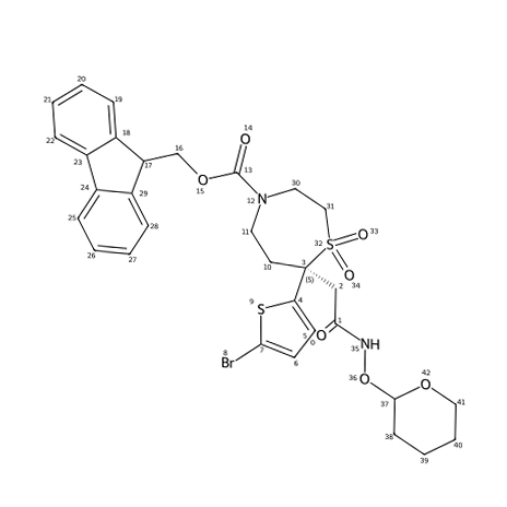 O=C(C[C@]1(c2ccc(Br)s2)CCN(C(=O)OCC2c3ccccc3-c3ccccc32)CCS1(=O)=O)NOC1CCCCO1